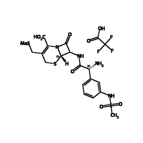 CSCC1=C(C(=O)O)N2C(=O)C(NC(=O)[C@H](N)c3cccc(NS(C)(=O)=O)c3)[C@@H]2SC1.O=C(O)C(F)(F)F